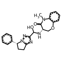 CN1C(=O)[C@@H](NC(O)c2nc3n(n2)[C@@H](c2ccccc2)CC3)COc2ccccc21